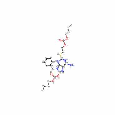 CCCCOC(=O)OCCSc1nc(N)c2nc(OC(=O)OCCCC)n(Cc3ccccc3)c2n1